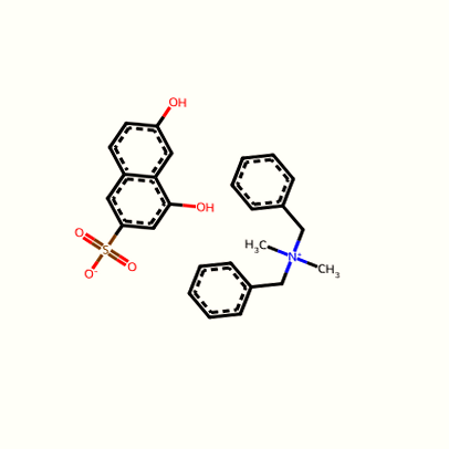 C[N+](C)(Cc1ccccc1)Cc1ccccc1.O=S(=O)([O-])c1cc(O)c2cc(O)ccc2c1